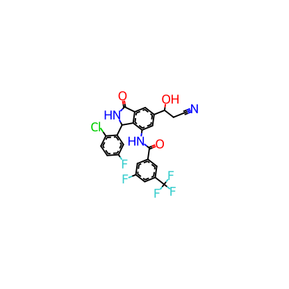 N#CCC(O)c1cc(NC(=O)c2cc(F)cc(C(F)(F)F)c2)c2c(c1)C(=O)NC2c1cc(F)ccc1Cl